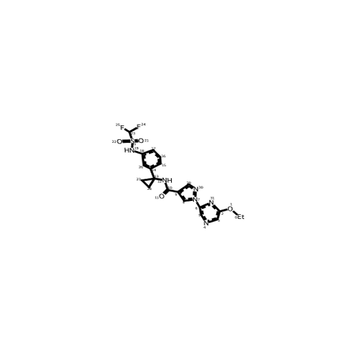 CCOc1cncc(-n2cc(C(=O)NC3(c4cccc(NS(=O)(=O)C(F)F)c4)CC3)cn2)n1